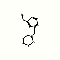 NCc1cccc(CN2CCCCC2)c1